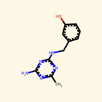 Cc1nc(N)nc(NCc2cccc(O)c2)n1